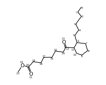 CCCCCCC1CCCCC1C(=O)CCCCCCC(=O)OC